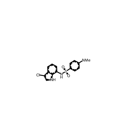 CNc1ccc(S(=O)(=O)Nc2cccc3c(Cl)c[nH]c23)cc1